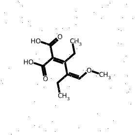 CCC(=COC)C(CC)=C(C(=O)O)C(=O)O